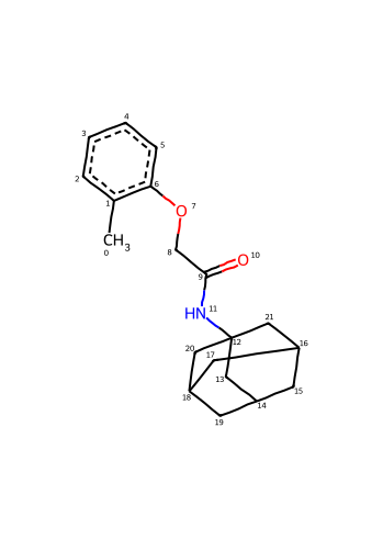 Cc1ccccc1OCC(=O)NC12CC3CC(CC(C3)C1)C2